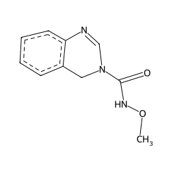 CONC(=O)N1C=Nc2ccccc2C1